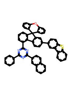 c1ccc(-c2nc(-c3ccc4ccccc4c3)nc(-c3cccc4c3-c3ccc(-c5ccc6sc7ccccc7c6c5)cc3C43c4ccccc4Oc4ccccc43)n2)cc1